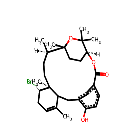 CC1=CC[C@H](Br)[C@@]2(C)CC[C@@H](C)[C@@]3(C)CC[C@H](OC(=O)c4ccc(O)c(c4)CC12)C(C)(C)O3